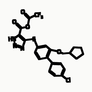 O=C(OC(=O)C(F)(F)F)c1[nH]nnc1Sc1ccc(-c2ccc(Cl)cc2)c(OCC2CCCC2)c1